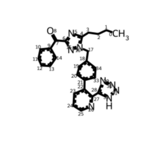 CCCCc1nc(C(=O)c2ccccc2)nn1Cc1ccc(-c2cccnc2-c2nnn[nH]2)cc1